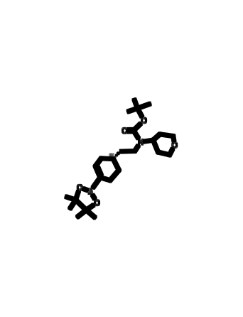 CC(C)(C)OC(=O)N(CC[C@H]1CC=C(B2OC(C)(C)C(C)(C)O2)CC1)C1CCOCC1